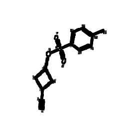 C#CC1CC(OS(=O)(=O)c2ccc(C)cc2)C1